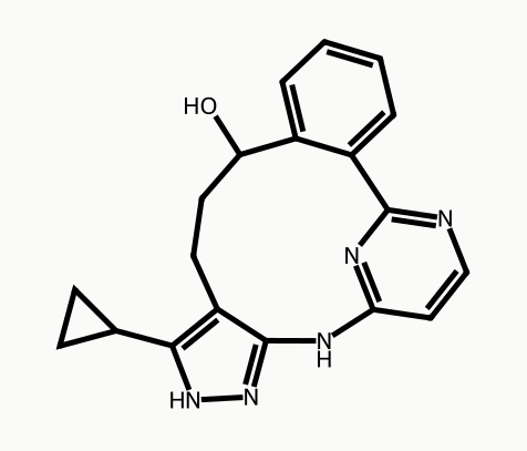 OC1CCc2c(n[nH]c2C2CC2)Nc2ccnc(n2)-c2ccccc21